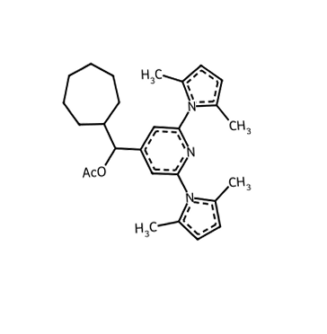 CC(=O)OC(c1cc(-n2c(C)ccc2C)nc(-n2c(C)ccc2C)c1)C1CCCCCC1